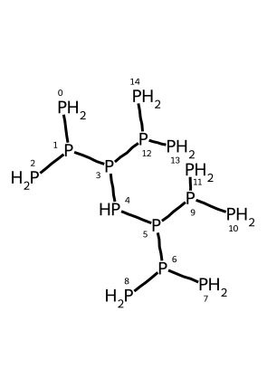 PP(P)P(PP(P(P)P)P(P)P)P(P)P